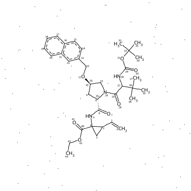 C=CC1CC1(NC(=O)[C@@H]1C[C@@H](OCc2ccc3ccccc3c2)CN1C(=O)C(NC(=O)OC(C)(C)C)C(C)(C)C)C(=O)OCC